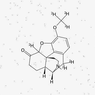 [2H]C([2H])([2H])Oc1ccc2c3c1OC1([2H])C(=O)CC[C@H]4[C@H](N(C)CC[C@@]341)C2([2H])[2H]